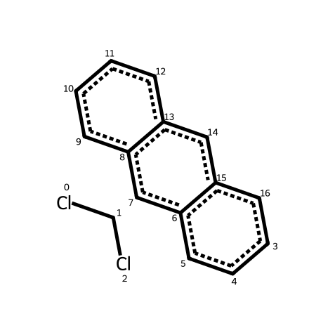 ClCCl.c1ccc2cc3ccccc3cc2c1